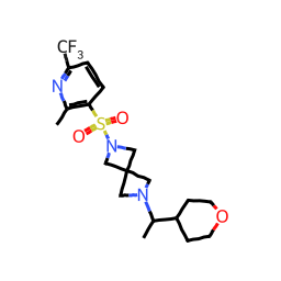 Cc1nc(C(F)(F)F)ccc1S(=O)(=O)N1CC2(CN(C(C)C3CCOCC3)C2)C1